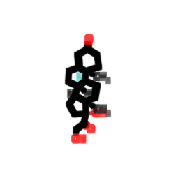 C[C@]12CCC(=O)C=C1CC[C@H]1[C@@H]3CC[C@](O)(C(=O)CO)[C@@]3(C)C=C[C@@]12F